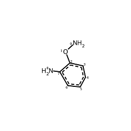 NOc1ccccc1N